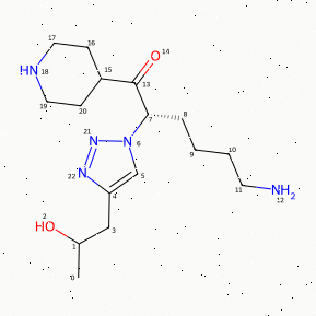 CC(O)Cc1cn([C@@H](CCCCN)C(=O)C2CCNCC2)nn1